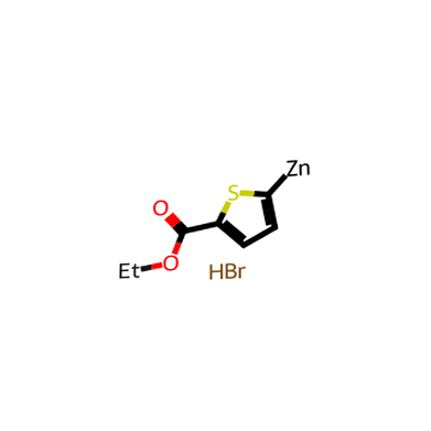 Br.CCOC(=O)c1cc[c]([Zn])s1